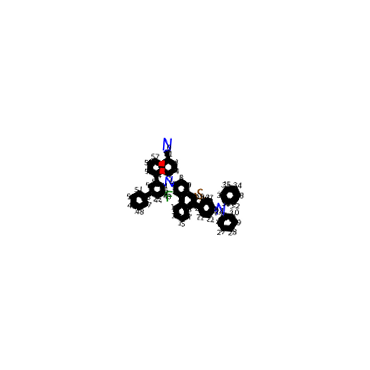 N#Cc1ccc(N(c2ccc3c(c2)c2ccccc2c2c4ccc(N(c5ccccc5)c5ccccc5)cc4sc32)c2c(F)cc(-c3ccccc3)cc2-c2ccccc2)cc1